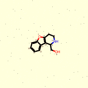 OCC1NCCc2oc3ccccc3c21